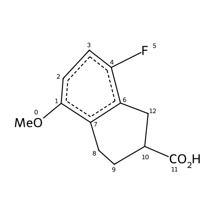 COc1ccc(F)c2c1CCC(C(=O)O)C2